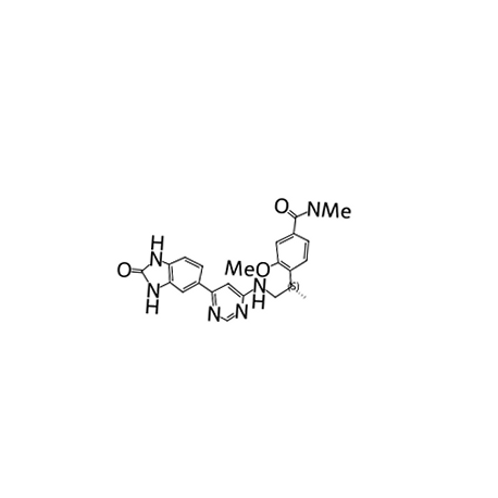 CNC(=O)c1ccc([C@H](C)CNc2cc(-c3ccc4[nH]c(=O)[nH]c4c3)ncn2)c(OC)c1